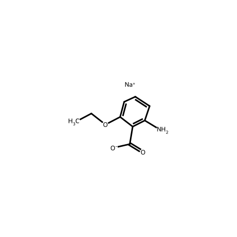 CCOc1cccc(N)c1C(=O)[O-].[Na+]